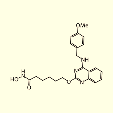 COc1ccc(CNc2nc(OCCCCCC(=O)NO)nc3ccccc23)cc1